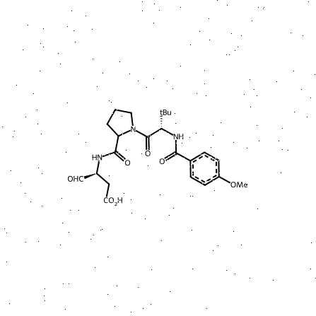 COc1ccc(C(=O)N[C@H](C(=O)N2CCCC2C(=O)N[C@H](C=O)CC(=O)O)C(C)(C)C)cc1